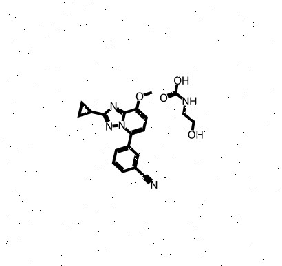 COc1ccc(-c2cccc(C#N)c2)n2nc(C3CC3)nc12.O=C(O)NCCO